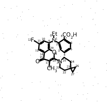 CCN(c1ccccc1C(=O)O)c1cc(F)cc2c(=O)c(C)c(N3CCC4(CC3)CC4)oc12